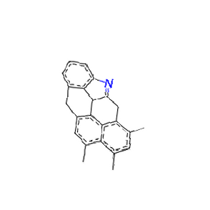 Cc1cc(C)c2c(C)cc3c4c2c1CC1=Nc2cccc(c2C14)C3